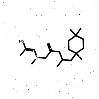 C=C(CC(C)CC1(C)CCC(C)(C)CC1)CN(C)/C=C(\C)S